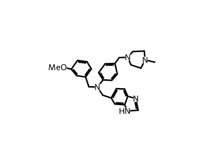 COc1cccc(CN(Cc2ccc3nc[nH]c3c2)c2ccc(CN3CCN(C)CC3)cc2)c1